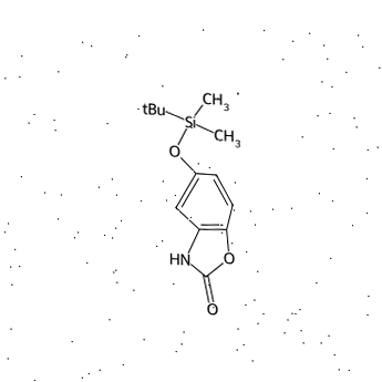 CC(C)(C)[Si](C)(C)Oc1ccc2oc(=O)[nH]c2c1